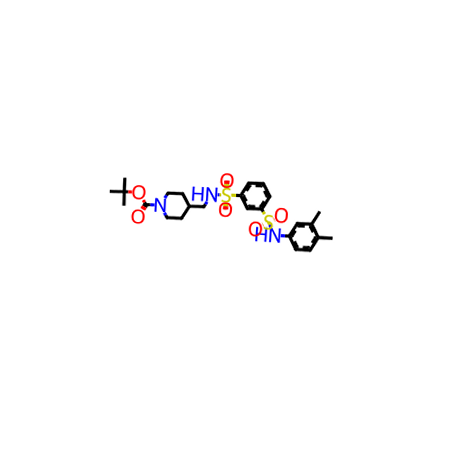 Cc1ccc(NS(=O)(=O)c2cccc(S(=O)(=O)NCC3CCN(C(=O)OC(C)(C)C)CC3)c2)cc1C